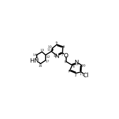 Clc1ccc(COc2cccc(C3CCNCC3)n2)nc1